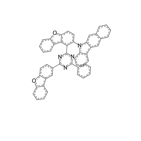 c1ccc(-c2nc(-c3ccc4oc5ccccc5c4c3)nc(-c3c(-n4c5ccccc5c5cc6ccccc6cc54)ccc4oc5ccccc5c34)n2)cc1